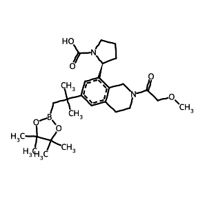 COCC(=O)N1CCc2cc(C(C)(C)CB3OC(C)(C)C(C)(C)O3)cc([C@@H]3CCCN3C(=O)O)c2C1